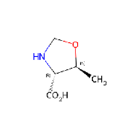 C[C@@H]1OCN[C@H]1C(=O)O